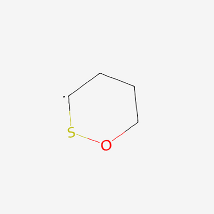 [CH]1CCCOS1